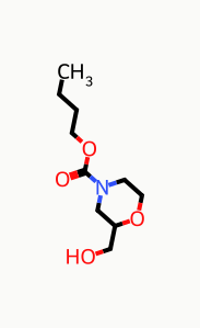 CCCCOC(=O)N1CCOC(CO)C1